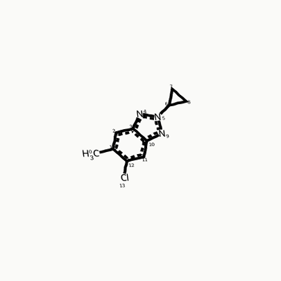 Cc1cc2nn(C3CC3)nc2cc1Cl